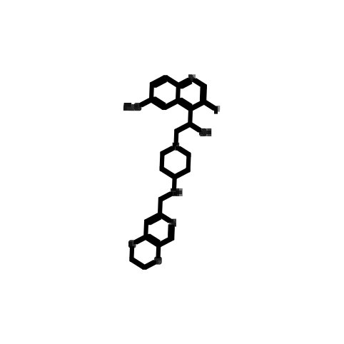 COc1ccc2ncc(F)c(C(O)CN3CCC(NCc4cc5c(cn4)OCCO5)CC3)c2c1